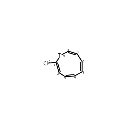 Cl[C]1=CC=CC=CC=[CH][Tl]1